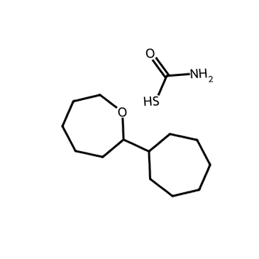 C1CCCC(C2CCCCCO2)CC1.NC(=O)S